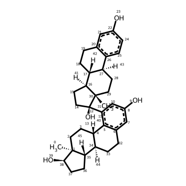 C[C@]12CC[C@@H]3c4c(cc(O)cc4[C@]4(O)CC[C@H]5[C@@H]6CCc7cc(O)ccc7[C@H]6CC[C@@]54C)CC[C@H]3[C@@H]1CC[C@H]2O